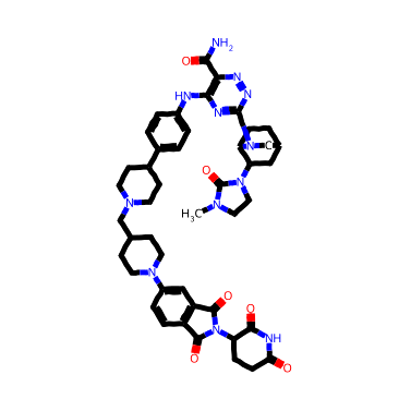 CN1CCN(C2CC3CCC2N(c2nnc(C(N)=O)c(Nc4ccc(C5CCN(CC6CCN(c7ccc8c(c7)C(=O)N(C7CCC(=O)NC7=O)C8=O)CC6)CC5)cc4)n2)C3)C1=O